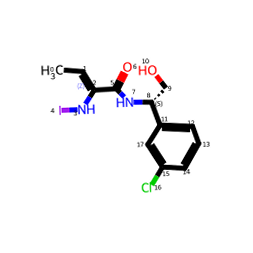 C/C=C(\NI)C(=O)N[C@H](CO)c1cccc(Cl)c1